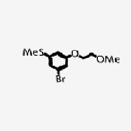 COCCOc1cc(Br)cc(SC)c1